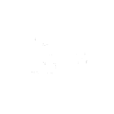 CC(C)N(Cc1c[nH]c2ncccc12)C(=O)Nc1ccc(SC(F)(F)F)cc1